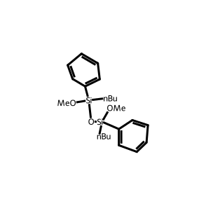 CCCC[Si](OC)(O[Si](CCCC)(OC)c1ccccc1)c1ccccc1